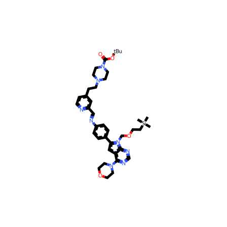 CC(C)(C)OC(=O)N1CCN(CCc2ccnc(/C=N/c3ccc(-c4cc5c(N6CCOCC6)ncnc5n4COCC[Si](C)(C)C)cc3)c2)CC1